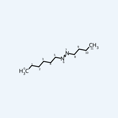 CCCCCCN=NCCCC